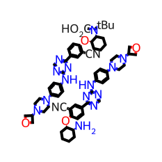 CC(C)(C)N(C(=O)O)[C@@H]1CCCC[C@@H]1Oc1ccc(-c2ncnc(Nc3ccc(N4CCN(C5COC5)CC4)cc3)n2)cc1C#N.N#Cc1cc(-c2ncnc(Nc3ccc(N4CCN(C5COC5)CC4)cc3)n2)ccc1O[C@H]1CCCC[C@H]1N